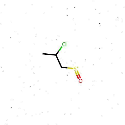 CC(Cl)C[S+]=O